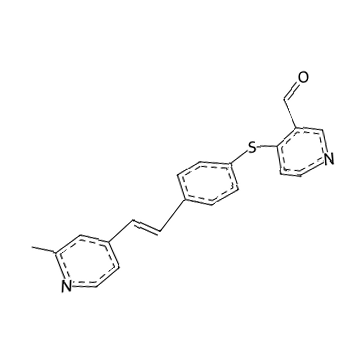 Cc1cc(/C=C/c2ccc(Sc3ccncc3C=O)cc2)ccn1